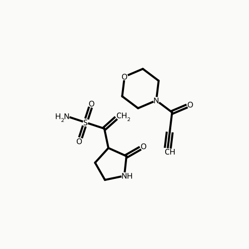 C#CC(=O)N1CCOCC1.C=C(C1CCNC1=O)S(N)(=O)=O